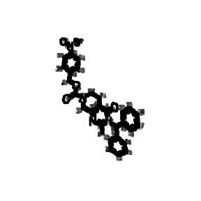 Cc1nc2c(c(=O)n1C(c1ccccc1)c1ccccc1)CCN(C(=O)OCc1ccc([N+](=O)[O-])cc1)C2